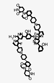 Nc1nnc(-c2ccc(Nc3nnc(-c4ccccc4O)cc3-c3nccc(C4CCN(C5CCC(c6cccc7c6OCCN7[C@@H]6CCC(=O)NC6=O)CC5)CC4)c3F)cc2O)cc1-c1nccc(C2CCN([C@H]3CC[C@H](c4cccc5c4OCCN5C4CCC(=O)NC4=O)CC3)CC2)c1F